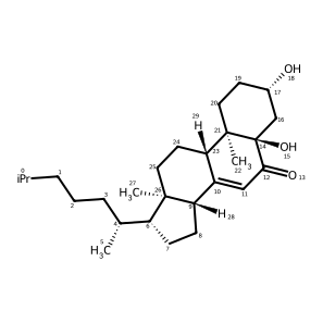 CC(C)CCC[C@@H](C)[C@H]1CC[C@H]2C3=CC(=O)[C@@]4(O)C[C@@H](O)CC[C@]4(C)[C@H]3CC[C@]12C